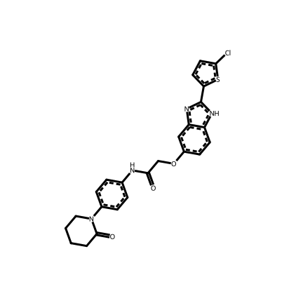 O=C(COc1ccc2[nH]c(-c3ccc(Cl)s3)nc2c1)Nc1ccc(N2CCCCC2=O)cc1